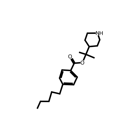 CCCCCc1ccc(C(=O)OC(C)(C)C2CCNCC2)cc1